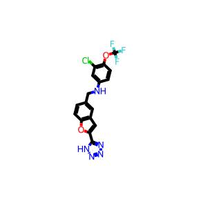 FC(F)(F)Oc1ccc(NCc2ccc3oc(-c4nnn[nH]4)cc3c2)cc1Cl